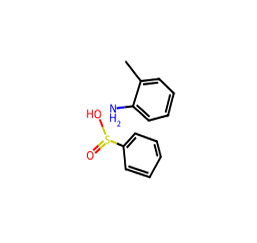 Cc1ccccc1N.O=S(O)c1ccccc1